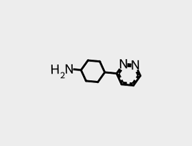 NC1CCC(c2cccnn2)CC1